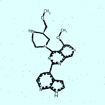 COC[C@H]1CN(c2nc(-c3ccnc4[nH]ccc34)nc3cncc(OC)c23)CCN1